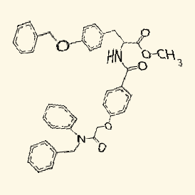 COC(=O)C(Cc1ccc(OCc2ccccc2)cc1)NC(=O)c1ccc(OCC(=O)N(Cc2ccccc2)c2ccccc2)cc1